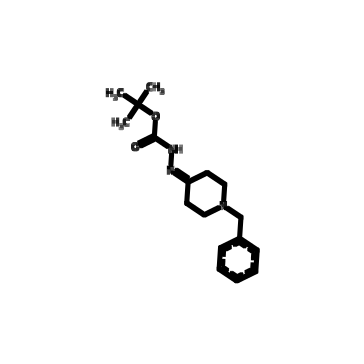 CC(C)(C)OC(=O)NN=C1CCN(Cc2ccccc2)CC1